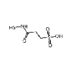 O=C(CCS(=O)(=O)O)NS